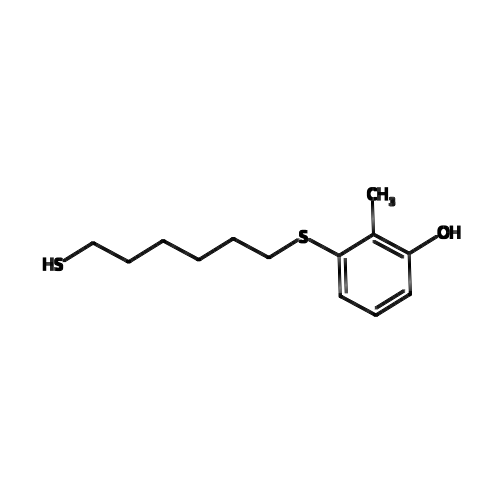 Cc1c(O)cccc1SCCCCCCS